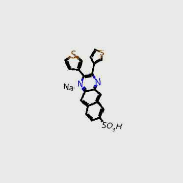 O=S(=O)(O)c1ccc2cc3nc(-c4ccsc4)c(-c4ccsc4)nc3cc2c1.[Na]